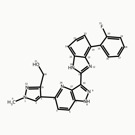 Cn1cc(-c2ccc3[nH]nc(-c4nc5c(-c6ccccc6F)cccc5[nH]4)c3n2)c(CO)n1